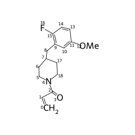 C=CC(=O)N1CCC(Cc2cc(OC)ccc2F)CC1